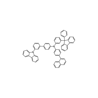 c1ccc(C2(c3cccc(N(c4ccc(-c5cccc(-n6c7ccccc7c7ccccc76)c5)cc4)c4ccc(-c5cccc6ccccc56)cc4)c3)c3ccccc3-c3ccccc32)cc1